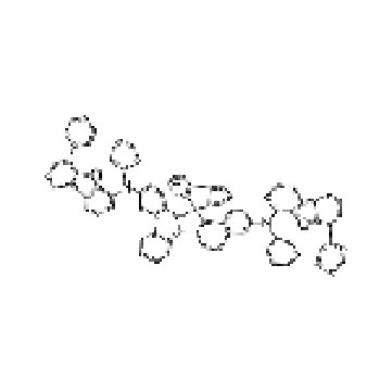 c1ccc(-c2cccc3c2oc2c(N(c4ccccc4)c4ccc5c6c(ccc5c4)-c4c(c5ccc(N(c7ccccc7)c7cccc8c7oc7c(-c9ccccc9)cccc78)cc5c5ccccc45)C64c5ccccc5-c5ccccc54)cccc23)cc1